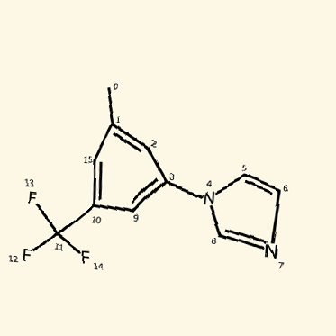 Cc1cc(-n2ccnc2)cc(C(F)(F)F)c1